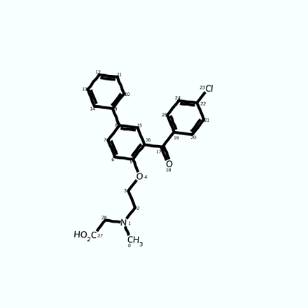 CN(CCOc1ccc(-c2ccccc2)cc1C(=O)c1ccc(Cl)cc1)CC(=O)O